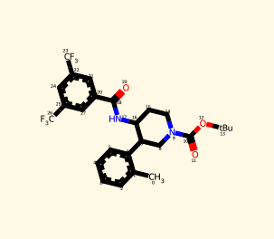 Cc1ccccc1C1CN(C(=O)OC(C)(C)C)CCC1NC(=O)c1cc(C(F)(F)F)cc(C(F)(F)F)c1